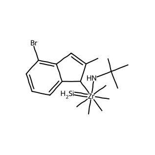 CC1=Cc2c(Br)cccc2[CH]1[Zr]([CH3])([CH3])([CH3])([CH3])([CH3])(=[SiH2])[NH]C(C)(C)C